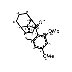 COc1cc(C)c(C(=O)P2(=S)C3CCCC2CCC3)c(OC)c1